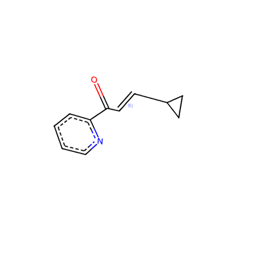 O=C(/C=C/C1CC1)c1ccccn1